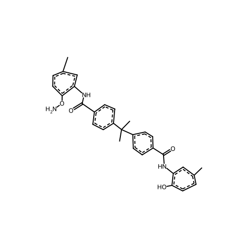 Cc1ccc(O)c(NC(=O)c2ccc(C(C)(C)c3ccc(C(=O)Nc4cc(C)ccc4ON)cc3)cc2)c1